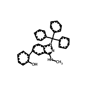 CNc1nn(C(c2ccccc2)(c2ccccc2)c2ccccc2)c2ccc(-c3ccccc3O)cc12